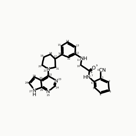 N#Cc1ccccc1NC(=O)CNc1cccc(C2CCCN(c3ncnc4[nH]ccc34)C2)c1